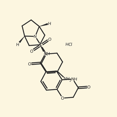 Cl.NC1CCN(S(=O)(=O)N2[C@@H]3CC[C@H]2C[C@H](NC(=O)c2ccc4c(c2)NC(=O)CO4)C3)CC1